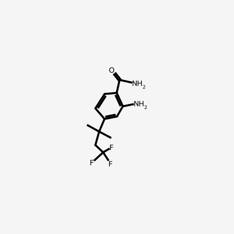 CC(C)(CC(F)(F)F)c1ccc(C(N)=O)c(N)c1